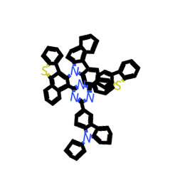 c1ccc(-n2c3ccccc3c3cc(-c4nc(-c5ccc6c(c5)sc5ccccc56)nc(-c5c(-n6c7cc8ccccc8cc7c7c8ccccc8ccc76)c6c7ccccc7sc6c6ccccc56)n4)ccc32)cc1